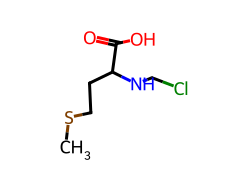 CSCCC(NCCl)C(=O)O